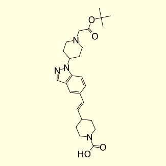 CC(C)(C)OC(=O)CN1CCC(n2ncc3cc(C=CC4CCN(C(=O)O)CC4)ccc32)CC1